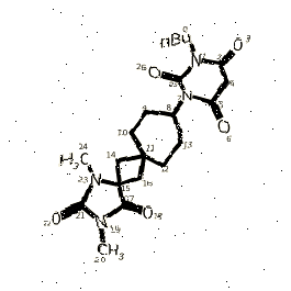 CCCCN1C(=O)CC(=O)N(C2CCC3(CC2)CC2(C3)C(=O)N(C)C(=O)N2C)C1=O